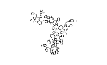 C#CCN1C(=O)COc2cc(F)c(N3C(=O)C4=C(CCCC4)C3=O)cc21.CC1COc2ccccc2N1C(=O)C(Cl)Cl.CCc1cccc(C)c1N(C(=O)CCl)C(C)COC.C[S+](C)C.O=C(O)CNCP(=O)([O-])O